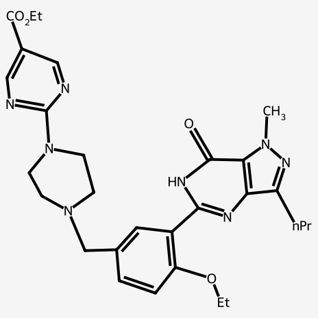 CCCc1nn(C)c2c(=O)[nH]c(-c3cc(CN4CCN(c5ncc(C(=O)OCC)cn5)CC4)ccc3OCC)nc12